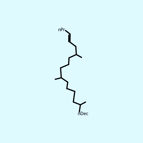 [CH2]CCC=CCC(C)CCCC(C)CCCCC(C)CCCCCCCCC[CH2]